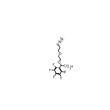 [N-]=[N+]=NCCOCCOC(C(=O)O)c1c(F)c(F)c(F)c(F)c1F